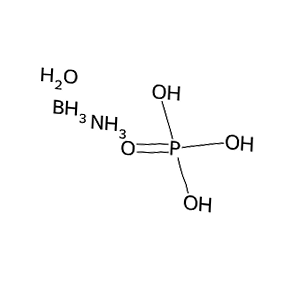 B.N.O.O=P(O)(O)O